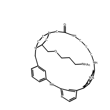 CC(=O)NCCCOCC1CN2CCN1Cc1cccc(c1)Nc1cc(ccn1)-c1cnc(nc1)NCCCNC(=O)C2